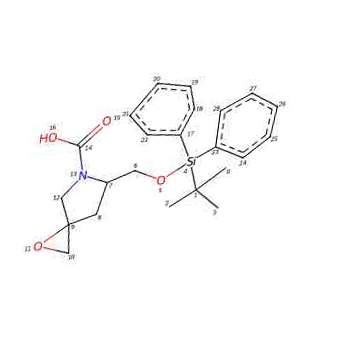 CC(C)(C)[Si](OCC1CC2(CO2)CN1C(=O)O)(c1ccccc1)c1ccccc1